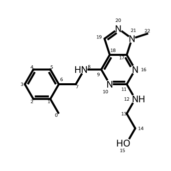 Cc1ccccc1CNc1nc(NCCO)nc2c1cnn2C